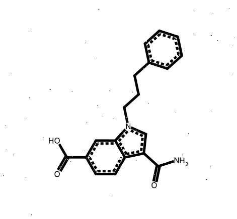 NC(=O)c1cn(CCCc2ccccc2)c2cc(C(=O)O)ccc12